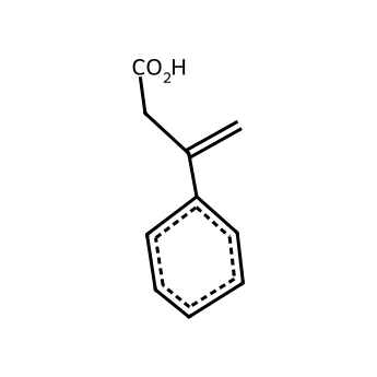 C=C(CC(=O)O)c1ccccc1